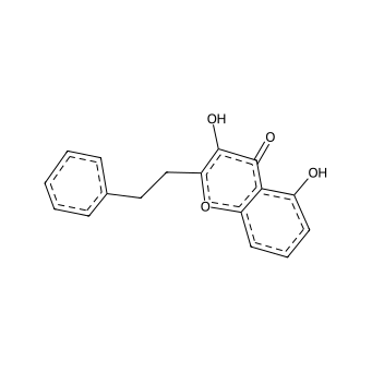 O=c1c(O)c(CCc2ccccc2)oc2cccc(O)c12